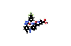 COC(=O)c1c[nH]c(/C=C2\C(=O)Nc3cc(Nc4cc(NC(=O)Nc5cccc(C(F)(F)F)c5)ccc4C)ccc32)c1